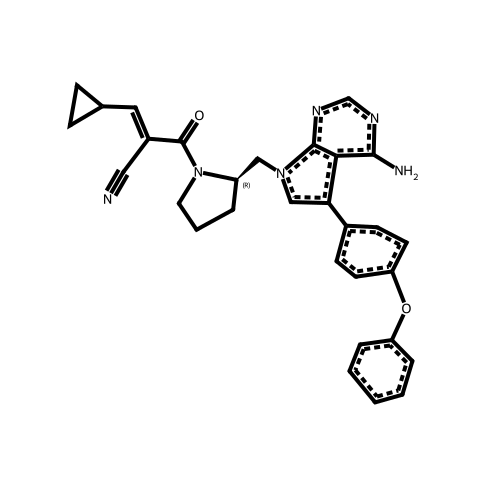 N#CC(=CC1CC1)C(=O)N1CCC[C@@H]1Cn1cc(-c2ccc(Oc3ccccc3)cc2)c2c(N)ncnc21